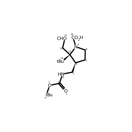 CC(C)(C)OC(=O)NC[C@@H]1CCN(C(=O)O)[C@]1(CC=O)C(C)(C)C